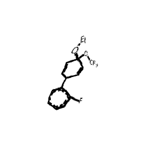 CCOC1(OC(F)(F)F)C=CC(c2ccccc2F)C=C1